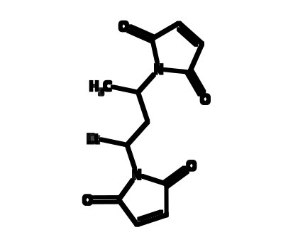 CCC(CC(C)N1C(=O)C=CC1=O)N1C(=O)C=CC1=O